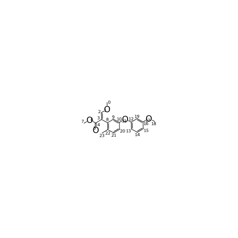 CO/C=C(/C(=O)OC)c1cc(Oc2cccc(OC)c2)ccc1C